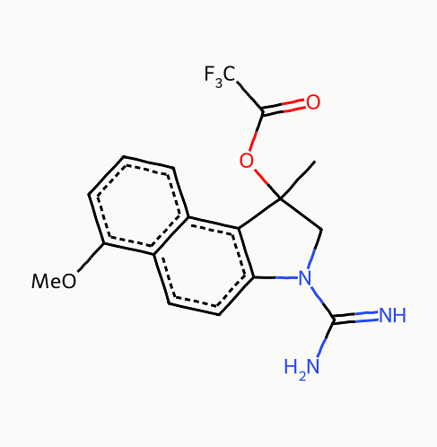 COc1cccc2c3c(ccc12)N(C(=N)N)CC3(C)OC(=O)C(F)(F)F